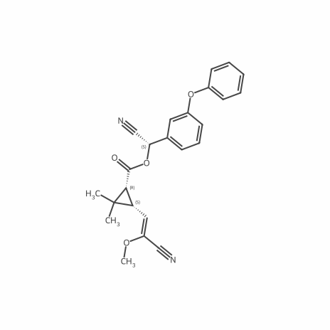 COC(C#N)=C[C@H]1[C@@H](C(=O)O[C@H](C#N)c2cccc(Oc3ccccc3)c2)C1(C)C